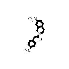 N#Cc1ccc(CC(=O)N2CCc3ccc([N+](=O)[O-])cc3C2)cc1